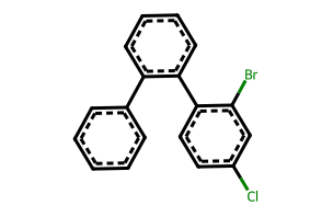 Clc1ccc(-c2ccccc2-c2ccccc2)c(Br)c1